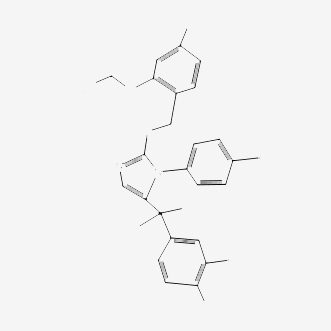 CC(C)(c1ccc(Cl)c(Cl)c1)c1cnc(SCc2ccc(F)cc2OCC(=O)O)n1-c1ccc(F)cc1